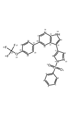 O=S(=O)(c1ccccc1)n1cc(-c2c[nH]c3ncc(-c4ccc(OC(F)(F)F)cc4)cc23)cn1